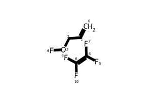 C=CCOF.FC(F)=C(F)F